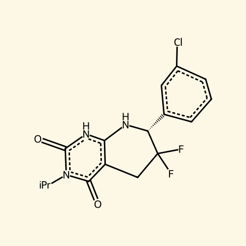 CC(C)n1c(=O)[nH]c2c(c1=O)CC(F)(F)[C@@H](c1cccc(Cl)c1)N2